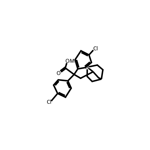 COC(=O)C(CC1CC2CCN1CC2)(c1ccc(Cl)cc1)c1ccc(Cl)cc1